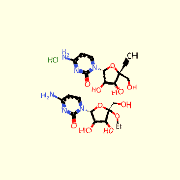 C#C[C@]1(CO)O[C@@H](n2ccc(N)nc2=O)C(O)C1O.CCO[C@]1(CO)O[C@@H](n2ccc(N)nc2=O)C(O)C1O.Cl